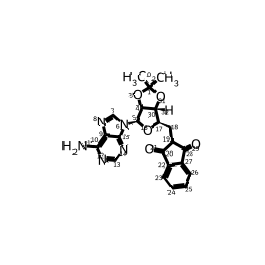 CC1(C)OC2[C@H](n3cnc4c(N)ncnc43)O[C@H](CC3C(=O)c4ccccc4C3=O)[C@H]2O1